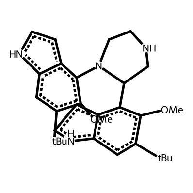 COc1c(C(C)(C)C)cc2[nH]ccc2c1C1CNCCN1c1c(OC)c(C(C)(C)C)cc2[nH]ccc12